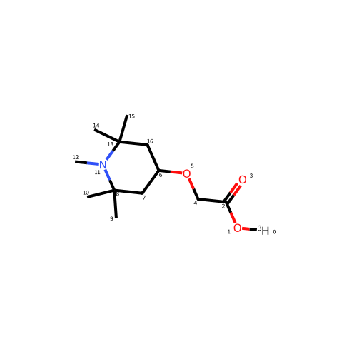 [3H]OC(=O)COC1CC(C)(C)N(C)C(C)(C)C1